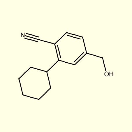 N#Cc1ccc(CO)cc1C1CCCCC1